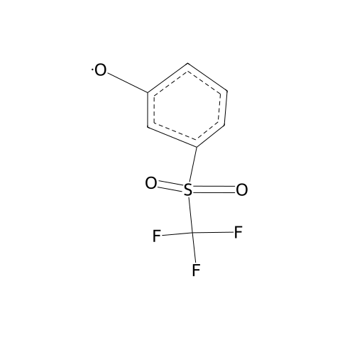 [O]c1cccc(S(=O)(=O)C(F)(F)F)c1